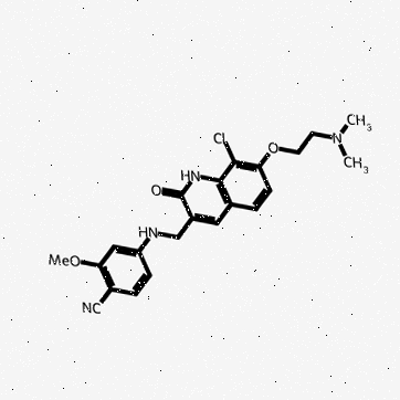 COc1cc(NCc2cc3ccc(OCCN(C)C)c(Cl)c3[nH]c2=O)ccc1C#N